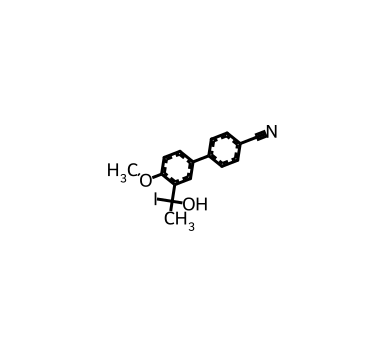 COc1ccc(-c2ccc(C#N)cc2)cc1C(C)(O)I